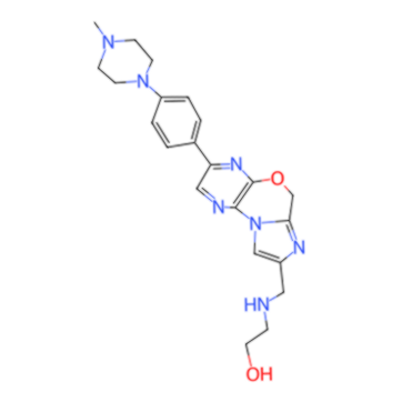 CN1CCN(c2ccc(-c3cnc4c(n3)OCc3nc(CNCCO)cn3-4)cc2)CC1